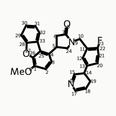 COc1ccc(C2CC(=O)N(Cc3cc(C4C=NC=CC4)ccc3F)C2)c2c1oc1ccccc12